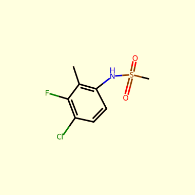 Cc1c(NS(C)(=O)=O)ccc(Cl)c1F